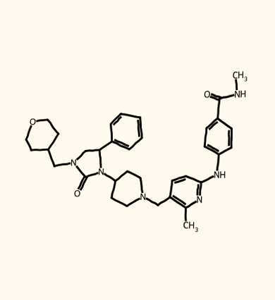 CNC(=O)c1ccc(Nc2ccc(CN3CCC(N4C(=O)N(CC5CCOCC5)CC4c4ccccc4)CC3)c(C)n2)cc1